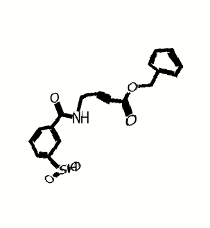 O=C(C#CCNC(=O)c1cccc([SH](=O)=O)c1)OCc1ccccc1